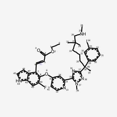 CCOC(=O)/C=C/c1c(Oc2ccnc(-c3nc([C@](C)(CCCC(C)(C)CNC)c4cccc(I)c4)nn3C)c2)c(F)cc2[nH]ccc12